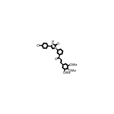 COc1cc(C=CC(=O)c2cccc(-n3cc(-c4ccc(Cl)cc4)[nH]c3=O)c2)cc(OC)c1OC